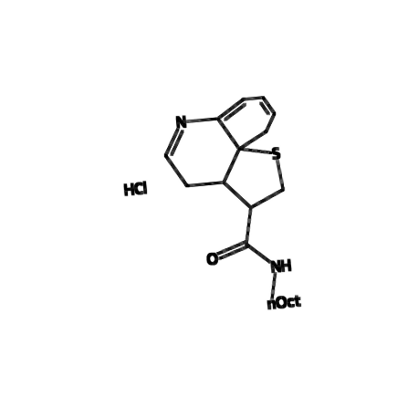 CCCCCCCCNC(=O)C1CSC23CC=CC=C2N=CCC13.Cl